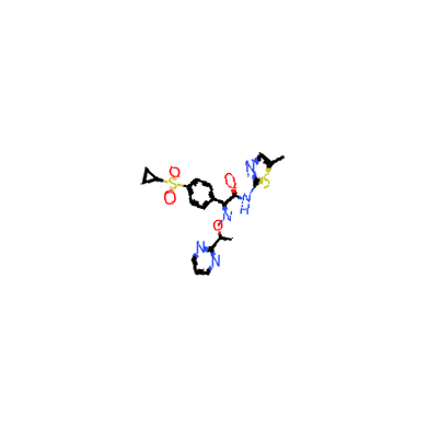 Cc1cnc(NC(=O)/C(=N/OC(C)c2ncccn2)c2ccc(S(=O)(=O)C3CC3)cc2)s1